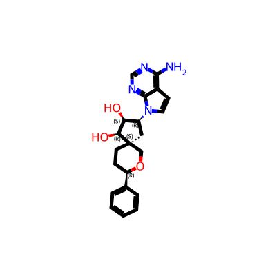 Nc1ncnc2c1ccn2[C@@H]1C[C@]2(CC[C@H](c3ccccc3)OC2)[C@@H](O)[C@H]1O